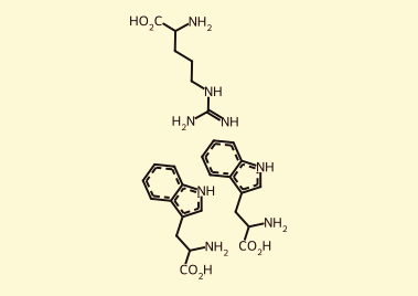 N=C(N)NCCCC(N)C(=O)O.NC(Cc1c[nH]c2ccccc12)C(=O)O.NC(Cc1c[nH]c2ccccc12)C(=O)O